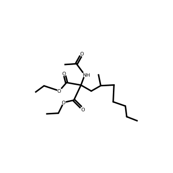 CCCCCC(C)CC(NC(C)=O)(C(=O)OCC)C(=O)OCC